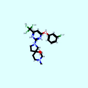 CN1CCC2(CCN(c3nc(Oc4cccc(F)c4)cc(C(F)(F)F)n3)C2)C2(C1)OCCO2